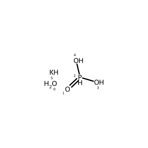 O.O=[PH](O)O.[KH]